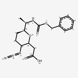 C[C@@H](NC(=O)OCc1ccccc1)[C@@H]1CCC(N=[N+]=[N-])C(CC(=O)O)O1